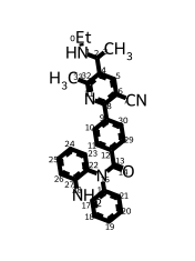 CCNC(C)c1cc(C#N)c(-c2ccc(C(=O)N(c3ccccc3)c3ccccc3N)cc2)nc1C